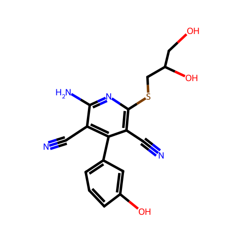 N#Cc1c(N)nc(SCC(O)CO)c(C#N)c1-c1cccc(O)c1